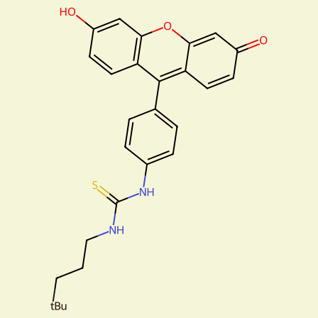 CC(C)(C)CCCNC(=S)Nc1ccc(-c2c3ccc(=O)cc-3oc3cc(O)ccc23)cc1